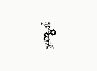 CS(=O)(=O)CNc1ccccc1-c1ccc2cnc(OS(=O)(=O)C(F)(F)F)nn12